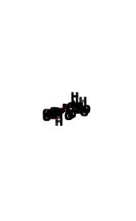 COC(=O)N[C@H](C(=O)N1CCC[C@H]1C(=O)Nc1ccc([C@@H]2CC[C@@H](c3ccc(NC(=O)[C@@H]4CCCN4C(=O)[C@@H](NC(=O)OC)C(C)(C)C)cc3)N2c2ccc(S(C)(=O)=O)cc2)cc1)C(C)(C)C